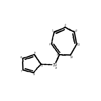 C1=CC=[C]([Ti][CH]2C=CC=C2)CC=C1